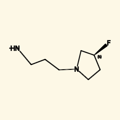 [NH]CCCN1CC[C@H](F)C1